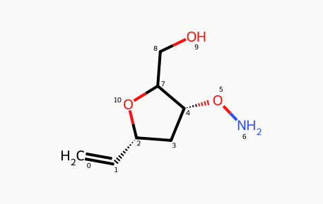 C=C[C@H]1C[C@@H](ON)C(CO)O1